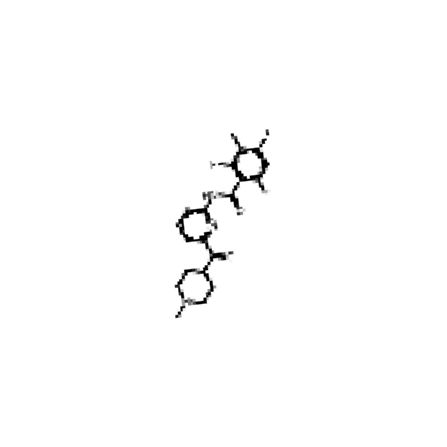 Cc1c(F)cc(F)c(C(=O)Nc2cccc(C(=O)C3CCN(C)CC3)n2)c1F